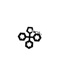 CN1CCCC1C(c1ccccc1)(c1ccccc1)c1ccccc1